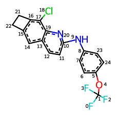 FC(F)(F)Oc1ccc(Nc2ccc3cc4c(c(Cl)c3n2)CC4)cc1